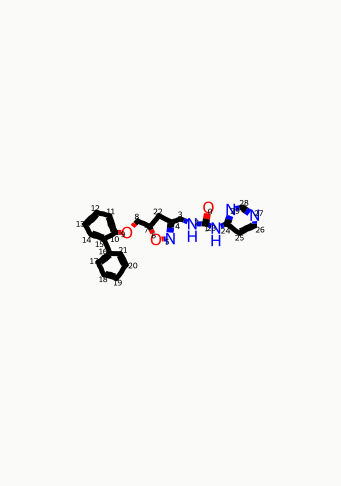 O=C(NCC1=NOC(COc2ccccc2-c2ccccc2)C1)Nc1ccncn1